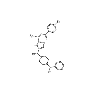 C=C(/C=C(\n1ncc(C(=O)N2CCN(C(CC)c3ccccc3)CC2)c1C)C(F)(F)F)c1ccc(CC)cc1